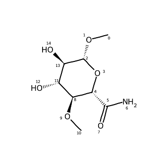 CO[C@@H]1O[C@H](C(N)=O)[C@@H](OC)[C@H](O)[C@H]1O